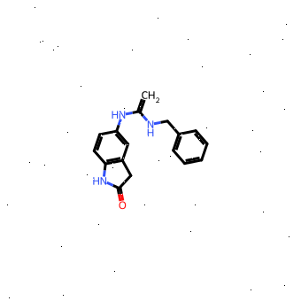 C=C(NCc1ccccc1)Nc1ccc2c(c1)CC(=O)N2